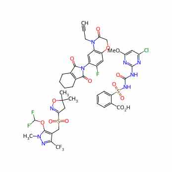 C#CCN1C(=O)COc2cc(F)c(N3C(=O)C4=C(CCCC4)C3=O)cc21.COc1cc(Cl)nc(NC(=O)NS(=O)(=O)c2ccccc2C(=O)O)n1.Cn1nc(C(F)(F)F)c(CS(=O)(=O)C2=NOC(C)(C)C2)c1OC(F)F